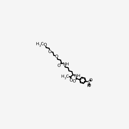 COCCOCCOCCC(=O)NCCCCC(NC(=O)c1ccc([SH](=O)=O)cc1)C(C)=O